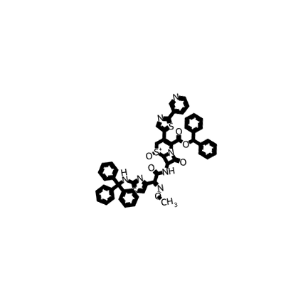 CON=C(C(=O)NC1C(=O)N2C(C(=O)OC(c3ccccc3)c3ccccc3)=C(c3cnc(-c4cccnc4)s3)C[S+]([O-])C12)c1csc(NC(c2ccccc2)(c2ccccc2)c2ccccc2)n1